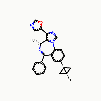 C[C@H]1N=C(c2ccccc2)c2cc([C@]34C[C@H]3C4)ccc2-n2cnc(-c3cnco3)c21